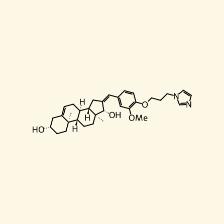 COc1cc(/C=C2/C[C@H]3[C@@H]4CC=C5C[C@@H](O)CC[C@]5(C)[C@H]4CC[C@]3(C)[C@H]2O)ccc1OCCCn1ccnc1